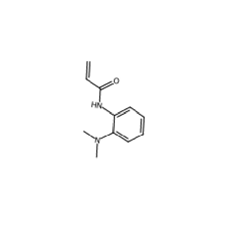 C=CC(=O)Nc1ccccc1N(C)C